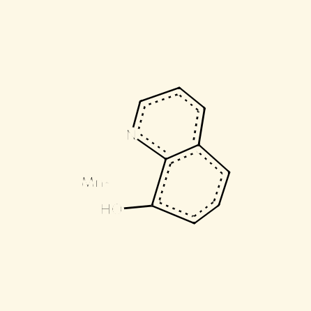 Oc1cccc2cccnc12.[Mn+2]